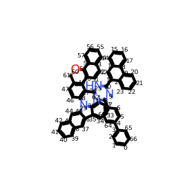 c1ccc(-c2ccc(C3=NC(c4cc5ccccc5c5ccccc45)NC(c4c(-n5c6ccccc6c6cc7ccccc7cc65)ccc5c4-c4ccc6ccccc6c4OC5)=N3)cc2)cc1